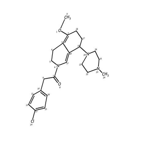 COC1=C2CCN(C(=O)Cc3ccc(Cl)cc3)C=C2C(N2CCN(C)CC2)CC1